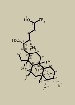 C[C@H](CCCC(O)C(F)(F)F)[C@H]1CC[C@H]2[C@H]3[C@H](CC[C@]12C)[C@@]1(C)CC[C@H](O)[C@H](O)[C@@H]1CC3(F)F